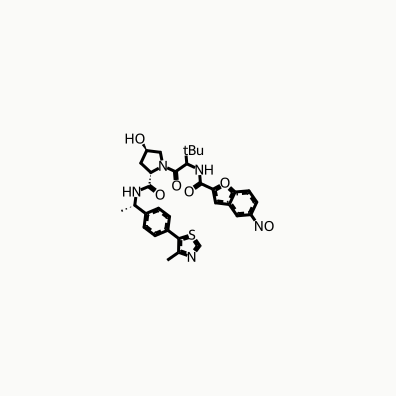 Cc1ncsc1-c1ccc([C@H](C)NC(=O)[C@@H]2C[C@@H](O)CN2C(=O)C(NC(=O)c2cc3cc(N=O)ccc3o2)C(C)(C)C)cc1